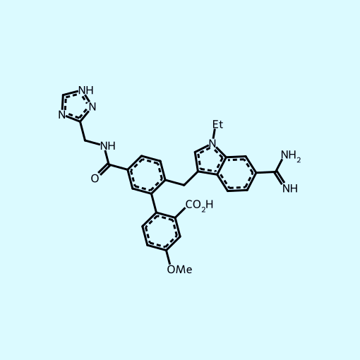 CCn1cc(Cc2ccc(C(=O)NCc3nc[nH]n3)cc2-c2ccc(OC)cc2C(=O)O)c2ccc(C(=N)N)cc21